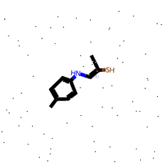 C/C(S)=C\Nc1ccc(C)cc1